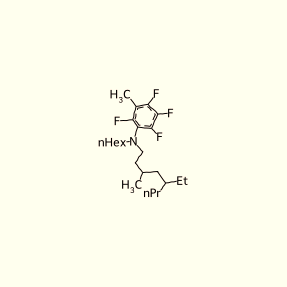 CCCCCCN(CCC(C)CC(CC)CCC)c1c(F)c(C)c(F)c(F)c1F